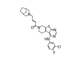 O=C(/C=C/CN1CC2CCC(C2)C1)N1CCc2c(sc3ncnc(Nc4ccc(F)c(Cl)c4)c23)C1